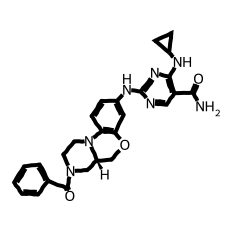 NC(=O)c1cnc(Nc2ccc3c(c2)OC[C@@H]2CN(C(=O)c4ccccc4)CCN32)nc1NC1CC1